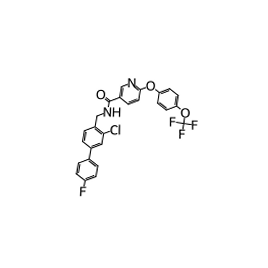 O=C(NCc1ccc(-c2ccc(F)cc2)cc1Cl)c1ccc(Oc2ccc(OC(F)(F)F)cc2)nc1